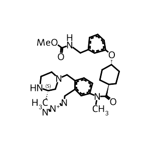 COC(=O)NCc1cccc(O[C@H]2CC[C@H](C(=O)N(C)c3ccc(CN4CCN[C@@H](C)C4)c(CN=[N+]=[N-])c3)CC2)c1